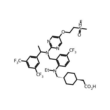 CCN(C[C@H]1CC[C@H](CC(=O)O)CC1)c1ccc(C(F)(F)F)cc1CN(c1ncc(OCC[SH](C)(=O)F)cn1)C(C)c1cc(C(F)(F)F)cc(C(F)(F)F)c1